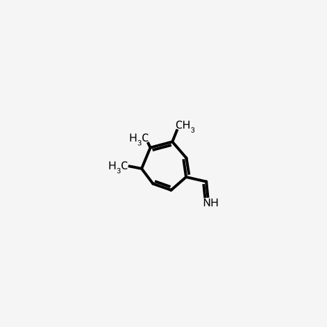 CC1=C(C)C(C)C=CC(C=N)=C1